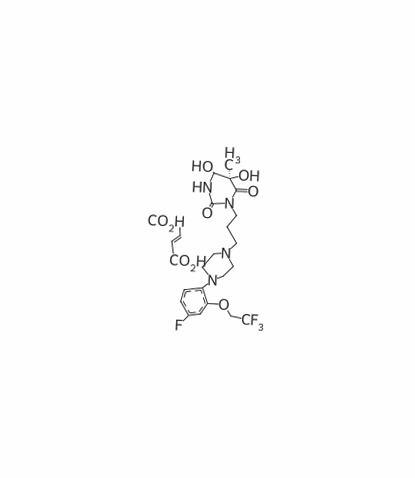 C[C@]1(O)C(=O)N(CCCN2CCN(c3ccc(F)cc3OCC(F)(F)F)CC2)C(=O)N[C@H]1O.O=C(O)/C=C/C(=O)O